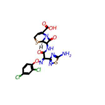 Nc1nc(/C(=N/Oc2ccc(Cl)cc2Cl)C(=O)NC2C(=O)N3C(C(=O)O)=CCS[C@H]23)ns1